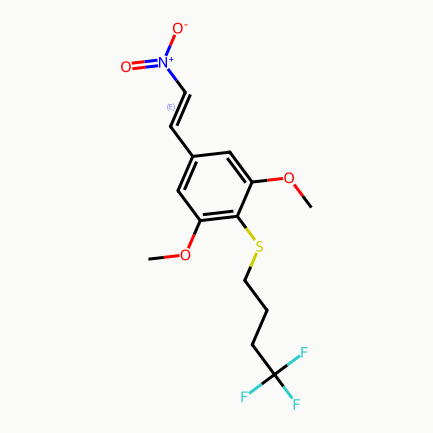 COc1cc(/C=C/[N+](=O)[O-])cc(OC)c1SCCCC(F)(F)F